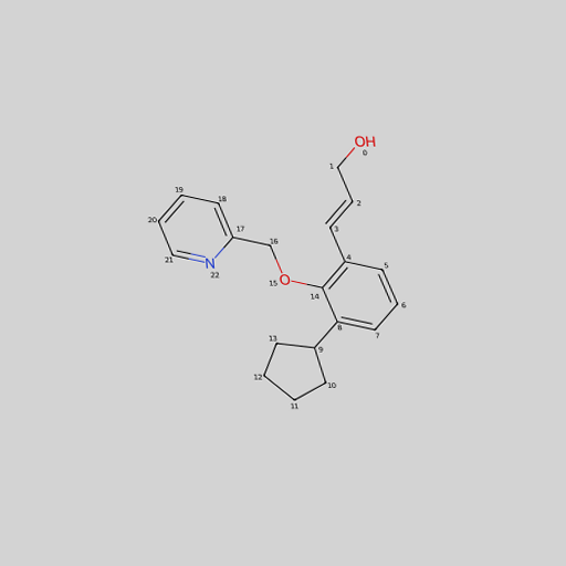 OC/C=C/c1cccc(C2CCCC2)c1OCc1ccccn1